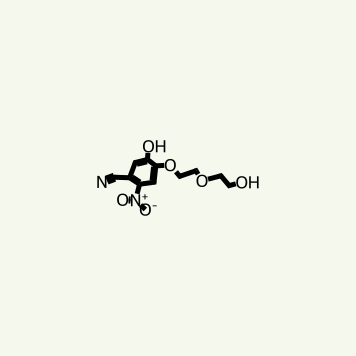 N#Cc1cc(O)c(OCCOCCO)cc1[N+](=O)[O-]